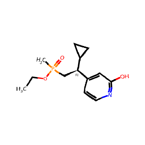 CCOP(C)(=O)C[C@H](c1ccnc(O)c1)C1CC1